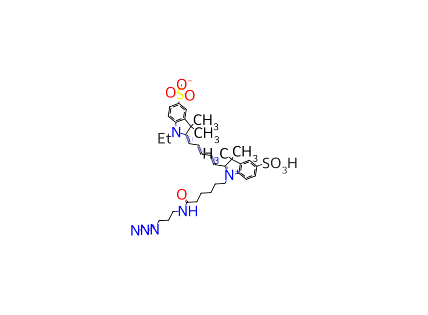 CCN1/C(=C/C=C/C=C/C2=[N+](CCCCCC(=O)NCCCN=[N+]=[N-])c3ccc(S(=O)(=O)O)cc3C2(C)C)C(C)(C)c2cc(S(=O)(=O)[O-])ccc21